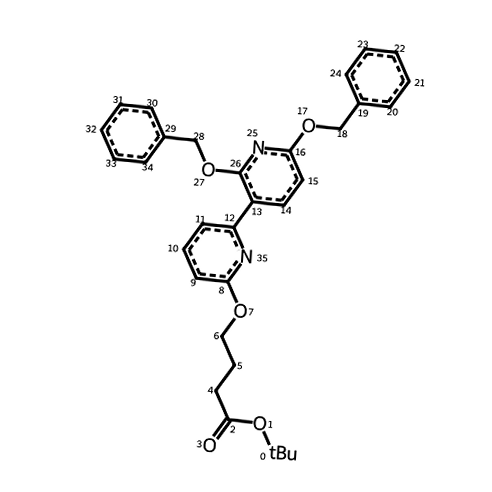 CC(C)(C)OC(=O)CCCOc1cccc(-c2ccc(OCc3ccccc3)nc2OCc2ccccc2)n1